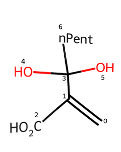 C=C(C(=O)O)C(O)(O)CCCCC